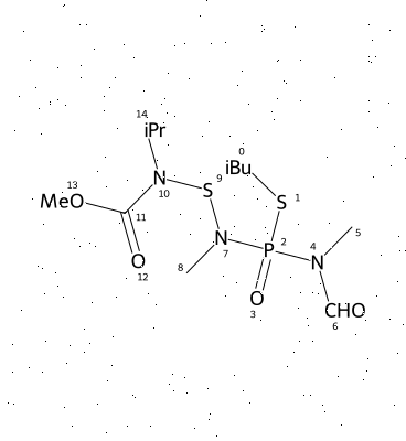 CCC(C)SP(=O)(N(C)C=O)N(C)SN(C(=O)OC)C(C)C